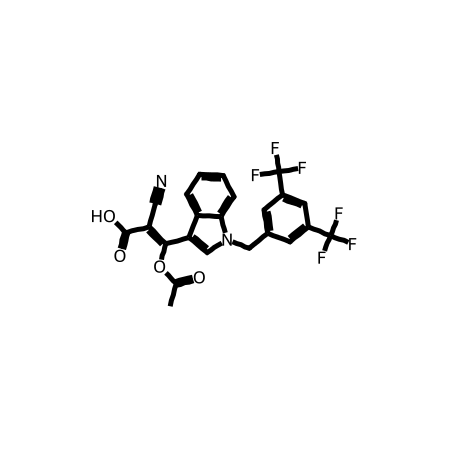 CC(=O)O/C(=C(/C#N)C(=O)O)c1cn(Cc2cc(C(F)(F)F)cc(C(F)(F)F)c2)c2ccccc12